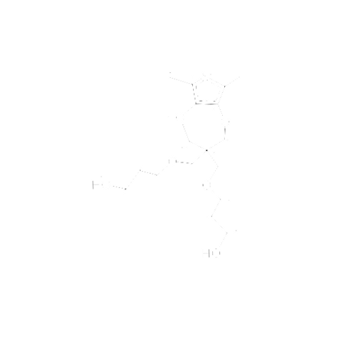 Cc1sc(C)c2c1OCC(COCCCO)(COCCCO)CO2